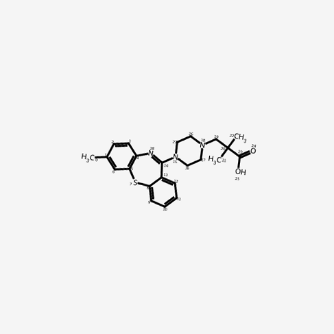 Cc1ccc2c(c1)Sc1ccccc1C(N1CCN(CC(C)(C)C(=O)O)CC1)=N2